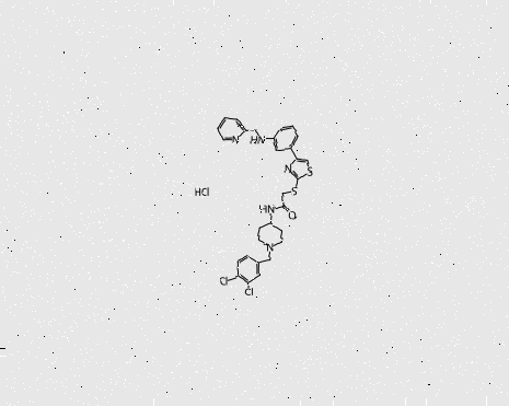 Cl.O=C(CSc1nc(-c2cccc(NCc3ccccn3)c2)cs1)NC1CCN(Cc2ccc(Cl)c(Cl)c2)CC1